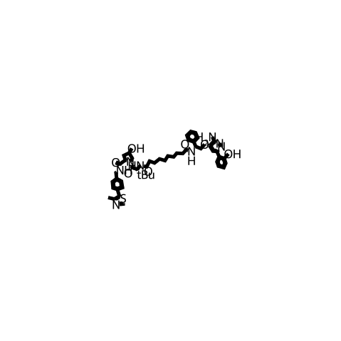 Cc1ncsc1-c1ccc(CNC(=O)C2CC(O)CN2C(=O)C(NC(=O)CCCCCCCCC(=O)NC(COc2cc(-c3ccccc3O)nnc2N)c2ccccc2)C(C)(C)C)cc1